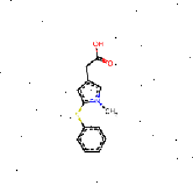 Cn1cc(CC(=O)O)cc1Sc1ccccc1